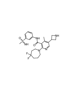 Cc1c(C2CNC2)cnc(N2CCCC(F)(F)CC2)c1C(=O)Nc1cccc(S(C)(=N)=O)c1